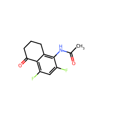 CC(=O)Nc1c(F)cc(F)c2c1CCCC2=O